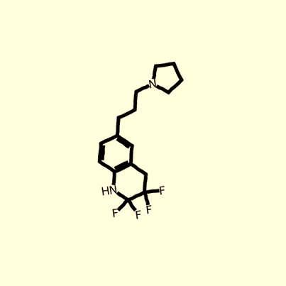 FC1(F)Cc2cc(CCCN3CCCC3)ccc2NC1(F)F